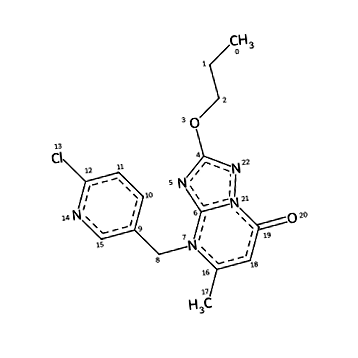 CCCOc1nc2n(Cc3ccc(Cl)nc3)c(C)cc(=O)n2n1